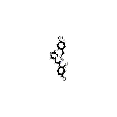 Cc1ccc(CO/N=C(\Cn2cncn2)c2ccc(Cl)cc2Cl)cc1